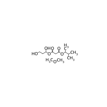 CC(C)C(C)OC(=O)CC(=O)OC(O)CCO.COC